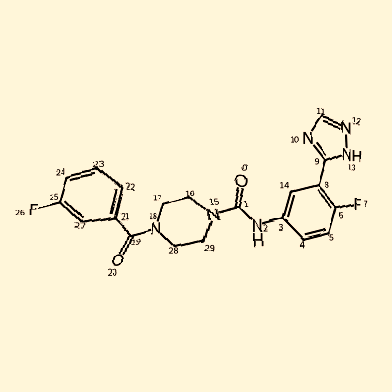 O=C(Nc1ccc(F)c(-c2ncn[nH]2)c1)N1CCN(C(=O)c2cccc(F)c2)CC1